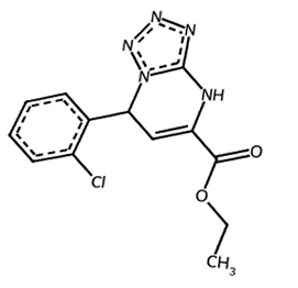 CCOC(=O)C1=CC(c2ccccc2Cl)n2nnnc2N1